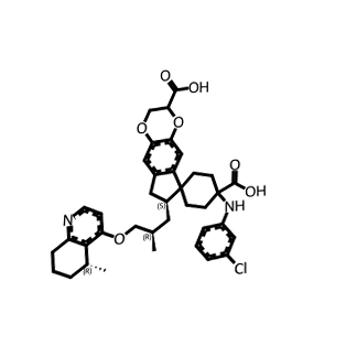 C[C@@H](COc1ccnc2c1[C@H](C)CCC2)C[C@H]1Cc2cc3c(cc2C12CCC(Nc1cccc(Cl)c1)(C(=O)O)CC2)OC(C(=O)O)CO3